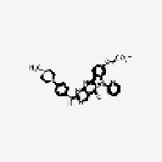 CN1CCN(c2ccc(Nc3ncc4c(=O)n5c(nc4n3)c3ccc(OCC(=O)O)cc3n5-c3ccccn3)cc2)CC1